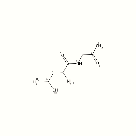 CC(=O)CNC(=O)C(N)CC(C)C